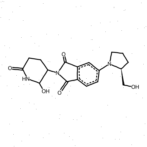 O=C1CCC(N2C(=O)c3ccc(N4CCC[C@H]4CO)cc3C2=O)C(O)N1